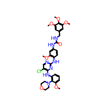 COc1cc(NC(=O)NCc2cc(OC)c(OC)c(OC)c2)ccc1Nc1ncc(Cl)c(Nc2cccc(OC)c2N2CCOCC2)n1